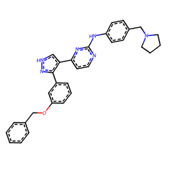 c1ccc(COc2cccc(-c3n[nH]cc3-c3ccnc(Nc4ccc(CN5CCCC5)cc4)n3)c2)cc1